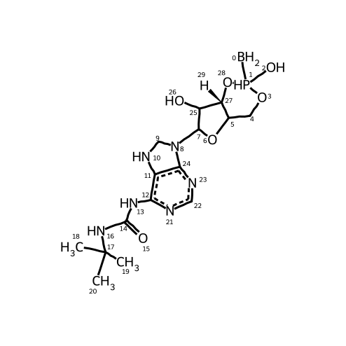 B[PH]1(O)OCC2OC(N3CNc4c(NC(=O)NC(C)(C)C)ncnc43)C(O)[C@@H]2O1